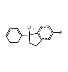 CC1(C2=CC=CCC2)CCc2cc(F)ccc21